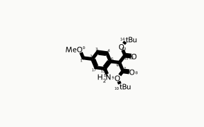 COCc1ccc(C(C(=O)OC(C)(C)C)C(=O)OC(C)(C)C)c(N)c1